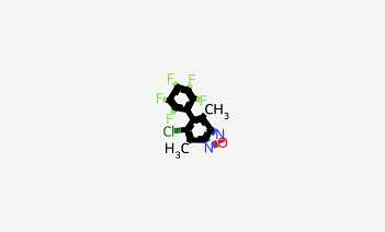 Cc1c(Cl)c(-c2c(F)c(F)c(F)c(F)c2F)c(C)c2nonc12